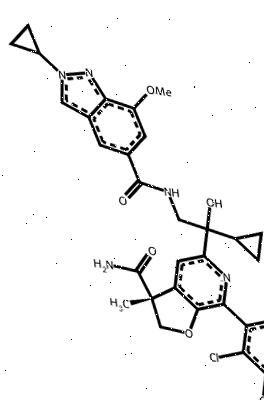 COc1cc(C(=O)NCC(O)(c2cc3c(c(-c4cccc(C(F)(F)F)c4Cl)n2)OC[C@]3(C)C(N)=O)C2CC2)cc2cn(C3CC3)nc12